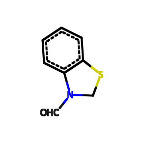 O=CN1CSc2ccccc21